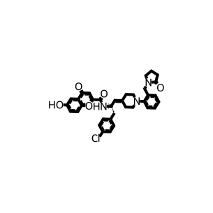 O=C(N[C@H](C=C1CCN(c2ccccc2CN2CCCC2=O)CC1)Cc1ccc(Cl)cc1)c1cc(=O)c2cc(O)ccc2o1